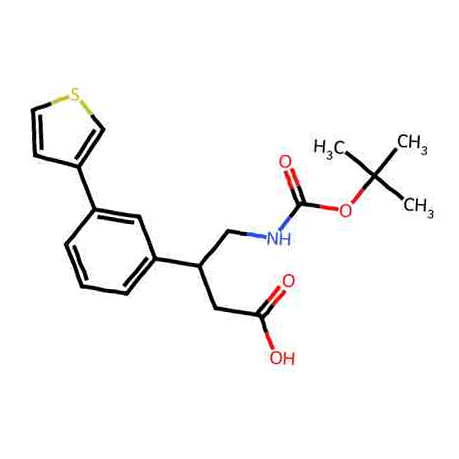 CC(C)(C)OC(=O)NCC(CC(=O)O)c1cccc(-c2ccsc2)c1